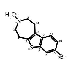 CN1CCc2sc3cc(Br)ccc3c2CC1